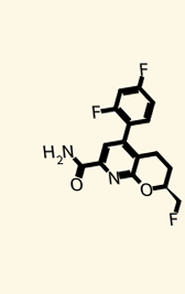 NC(=O)c1cc(-c2ccc(F)cc2F)c2c(n1)O[C@H](CF)CC2